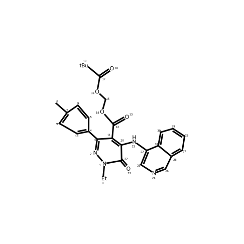 CCn1nc(-c2ccc(C)cc2)c(C(=O)OCOC(=O)C(C)(C)C)c(Nc2cncc3ccccc23)c1=O